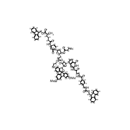 [C-]#[N+]CCOP(=O)(OC[C@H]1O[C@@H](n2ccc(NC(=O)CCCN(C)C(=O)OCC3c4ccccc4-c4ccccc43)nc2=O)C[C@H]1OC(=O)CCC(C)=O)O[C@@H]1C[C@H](n2cnc3c(=O)[nH]c(NC(=O)CCNC(=O)c4ccc(CNC(=O)OCC5c6ccccc6-c6ccccc65)cc4)nc32)O[C@@H]1COC(c1ccccc1)(c1ccc(OC)cc1)c1ccc(OC)cc1